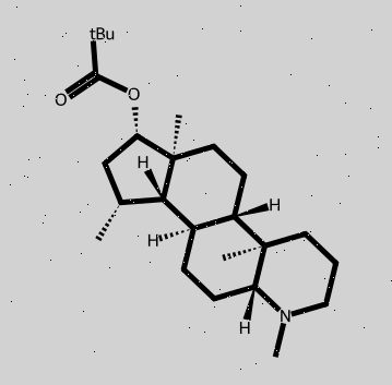 C[C@@H]1C[C@H](OC(=O)C(C)(C)C)[C@@]2(C)CC[C@H]3[C@@H](CC[C@H]4N(C)CCC[C@]34C)[C@H]12